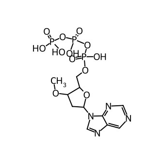 COC1CC(n2cnc3cncnc32)OC1COP(=O)(O)OP(=O)(O)OP(=O)(O)O